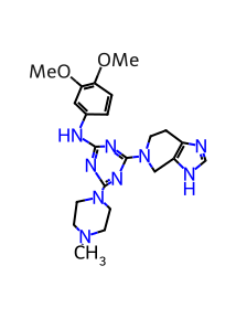 COc1ccc(Nc2nc(N3CCN(C)CC3)nc(N3CCc4nc[nH]c4C3)n2)cc1OC